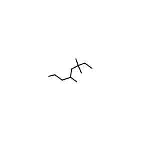 CCCC(C)CC(C)(C)CC